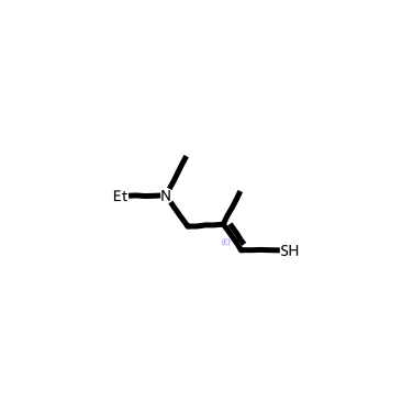 CCN(C)C/C(C)=C/S